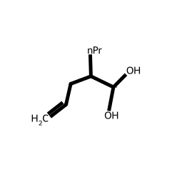 C=CCC(CCC)[C](O)O